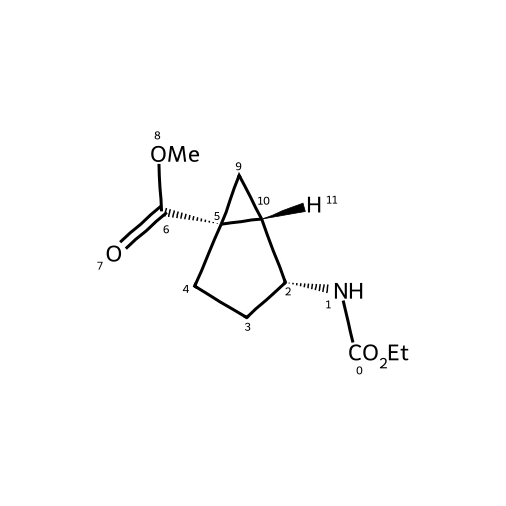 CCOC(=O)N[C@@H]1CC[C@@]2(C(=O)OC)C[C@H]12